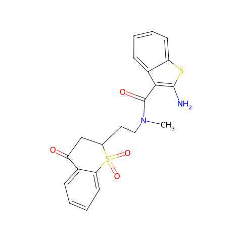 CN(CCC1CC(=O)c2ccccc2S1(=O)=O)C(=O)c1c(N)sc2ccccc12